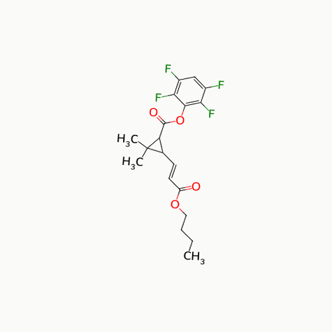 CCCCOC(=O)C=CC1C(C(=O)Oc2c(F)c(F)cc(F)c2F)C1(C)C